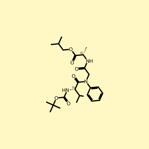 CC(C)COC(=O)[C@H](C)NC(=O)CN(C(=O)[C@@H](NC(=O)OC(C)(C)C)C(C)C)c1ccccc1